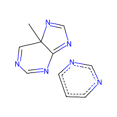 CC12C=NC=NC1=NC=N2.c1cncnc1